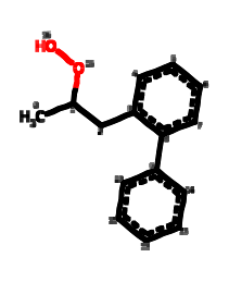 CC(Cc1ccccc1-c1ccccc1)OO